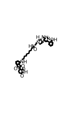 Nc1nnc(-c2ccccc2O)cc1N1CCN(CCNC(=O)CCCCCCCCCNc2cccc3c2C(=O)N(C2CCC(=O)NC2=O)C3=O)CC1